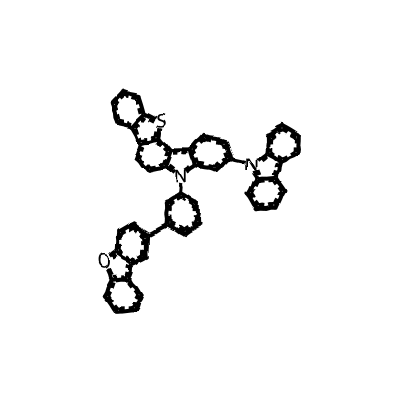 c1cc(-c2ccc3oc4ccccc4c3c2)cc(-n2c3cc(-n4c5ccccc5c5ccccc54)ccc3c3c4sc5ccccc5c4ccc32)c1